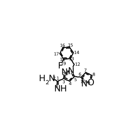 N=C(N)c1cc(-c2ccon2)n(Cc2ccccc2F)n1